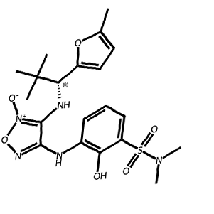 Cc1ccc([C@H](Nc2c(Nc3cccc(S(=O)(=O)N(C)C)c3O)no[n+]2[O-])C(C)(C)C)o1